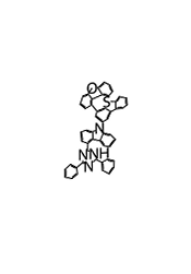 c1ccc(C2=NC(c3ccccc3)NC(c3cccc4c3c3ccccc3n4-c3cc(-c4cccc5oc6ccccc6c45)c4sc5ccccc5c4c3)=N2)cc1